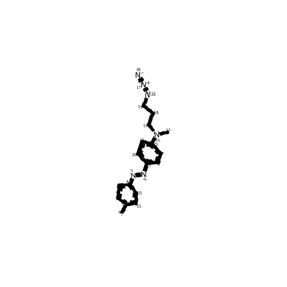 [CH2]c1ccc(N=Nc2ccc(N(C)CCCN=[N+]=[N-])cc2)cc1